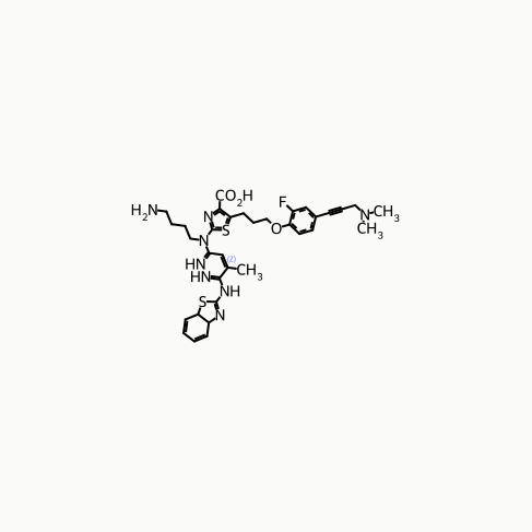 C/C(=C/C(=N)N(CCCCN)c1nc(C(=O)O)c(CCCOc2ccc(C#CCN(C)C)cc2F)s1)C(=N)NC1=NC2C=CC=CC2S1